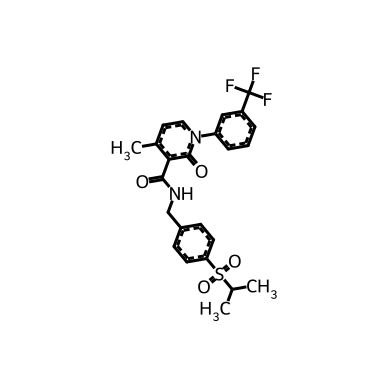 Cc1ccn(-c2cccc(C(F)(F)F)c2)c(=O)c1C(=O)NCc1ccc(S(=O)(=O)C(C)C)cc1